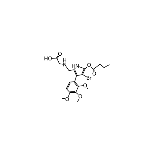 CCCC(=O)Oc1[nH]c(CNCC(=O)O)c(-c2ccc(OC)c(OC)c2OC)c1Br